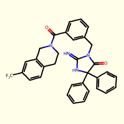 N=C1NC(c2ccccc2)(c2ccccc2)C(=O)N1Cc1cccc(C(=O)N2CCc3ccc(C(F)(F)F)cc3C2)c1